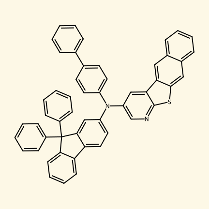 c1ccc(-c2ccc(N(c3ccc4c(c3)C(c3ccccc3)(c3ccccc3)c3ccccc3-4)c3cnc4sc5cc6ccccc6cc5c4c3)cc2)cc1